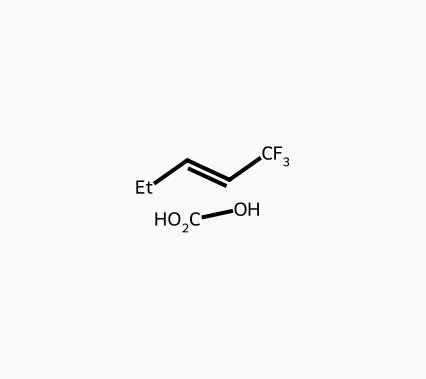 CCC=CC(F)(F)F.O=C(O)O